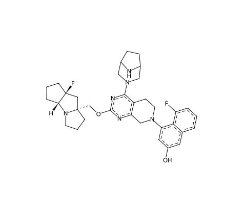 Oc1cc(N2CCc3c(nc(OC[C@]45CCCN4[C@@H]4CCC[C@]4(F)C5)nc3N3CC4CCC(C3)N4)C2)c2c(F)cccc2c1